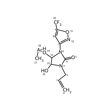 C=CCN1C(=O)N(c2cc(C(F)(F)F)on2)C(O)C1O.CC(C)=O